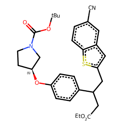 CCOC(=O)CC(Cc1cc2cc(C#N)ccc2s1)c1ccc(O[C@H]2CCN(C(=O)OC(C)(C)C)C2)cc1